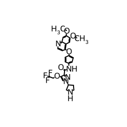 COc1cc2nccc(Oc3ccc(NC(=O)c4nn(C5CCNC5)cc4OCC(F)(F)F)cc3)c2cc1OC